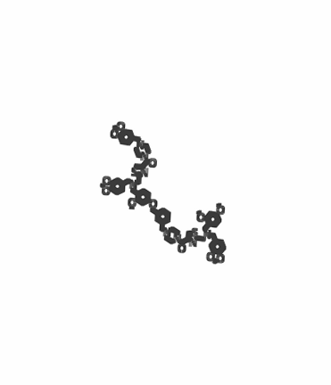 COc1ccc(CN(Cc2ccc3c(c2)OCO3)Cc2nc(C(=O)N3CCN(Cc4cccc(COc5ccc(CN(Cc6ccc7c(c6)OCO7)Cc6nc(C(=O)N7CCN(Cc8ccc9c(c8)OCO9)CC7)cs6)c(OC)c5)c4)CC3)cs2)c(OC)c1